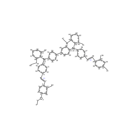 CCOc1ccc(/C=C/c2ccc(N(c3ccc(-c4ccc(N(c5ccc(/C=C/c6ccc(C)cc6C)cc5)c5c(C)cccc5CC)cc4)cc3)c3c(C)cccc3CC)cc2)c(C)c1